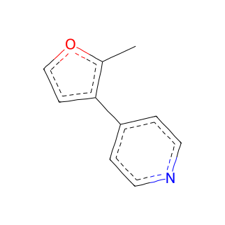 Cc1occc1-c1ccncc1